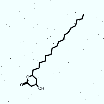 CCCCCCCCCCCCCCCCCC1CC(O)CC(=O)O1